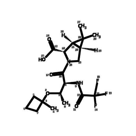 C[C@@H](OC1(C)CCC1)[C@H](NC(=O)C(F)(F)F)C(=O)N1C[C@H]2[C@@H]([C@H]1C(=O)O)C2(C)C